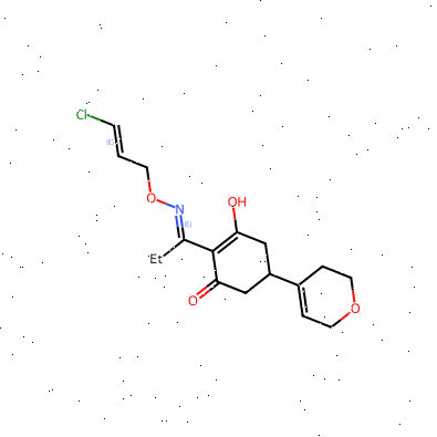 CC/C(=N\OC/C=C/Cl)C1=C(O)CC(C2=CCOCC2)CC1=O